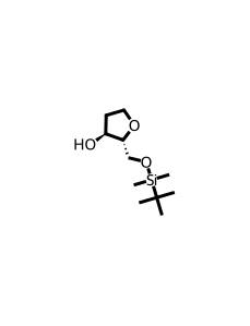 CC(C)(C)[Si](C)(C)OC[C@H]1OCC[C@@H]1O